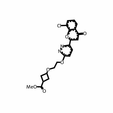 COC(=O)C1CC(OCCOc2ccc(-c3cc(=O)c4cccc(Cl)c4o3)nn2)C1